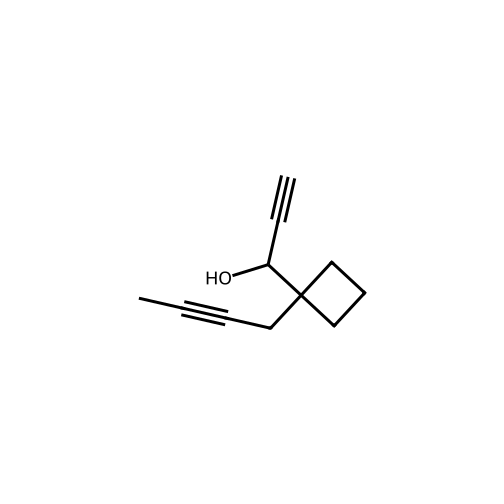 C#CC(O)C1(CC#CC)CCC1